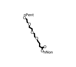 CCCCCCCCCOC(=O)CCCOCCOCCOCCOCCCCC